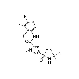 Cc1c(F)ccc(NC(=O)c2cc(S(=O)(=O)NC(C)(C)C)cn2C)c1F